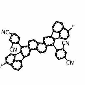 N#Cc1ccc(-c2c3c(cc4c2ccc2c5cc6c(c(-c7ccc(C#N)cc7C#N)c5ccc42)-c2ccc(F)c4cccc-6c24)-c2cccc4c(F)ccc-3c24)c(C#N)c1